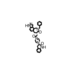 O=C1Nc2ccccc2CC1N1CCN(C(=O)C[C@@H]2Cc3ccc4[nH]ncc4c3CN(Cc3ccccc3)C2=O)CC1